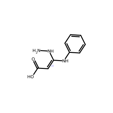 NN/C(=C\C(=O)O)Nc1ccccc1